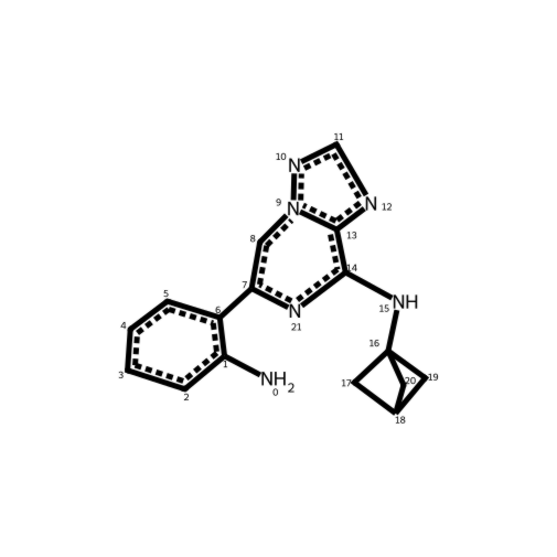 Nc1ccccc1-c1cn2ncnc2c(NC23CC(C2)C3)n1